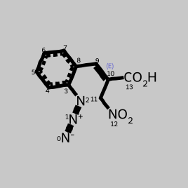 [N-]=[N+]=Nc1ccccc1/C=C(\C[N+](=O)[O-])C(=O)O